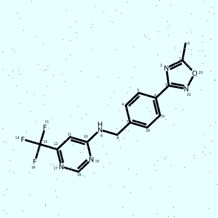 Cc1nc(-c2ccc(CNc3cc(C(F)(F)F)ncn3)cc2)no1